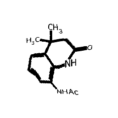 CC(=O)Nc1cccc2c1NC(=O)CC2(C)C